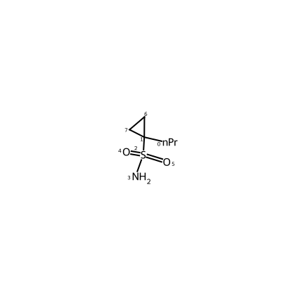 CCCC1(S(N)(=O)=O)CC1